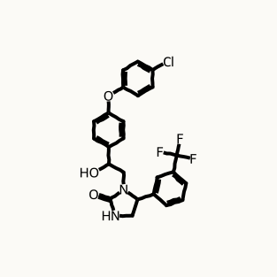 O=C1NCC(c2cccc(C(F)(F)F)c2)N1CC(O)c1ccc(Oc2ccc(Cl)cc2)cc1